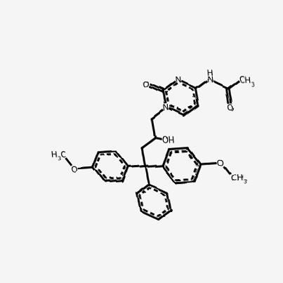 COc1ccc(C(CC(O)Cn2ccc(NC(C)=O)nc2=O)(c2ccccc2)c2ccc(OC)cc2)cc1